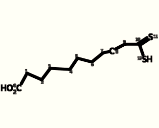 O=C(O)CCCCCCCCCC(=S)S